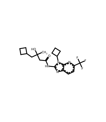 CC(O)(CC(=O)Nc1nc2ccc(C(F)(F)F)nc2n1C1CCC1)CC1CCC1